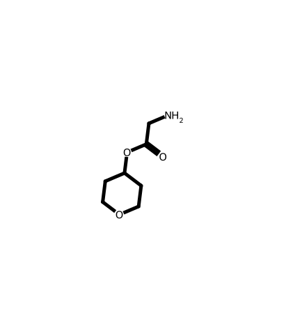 NCC(=O)OC1CCOCC1